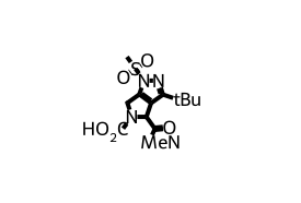 CNC(=O)C1c2c(C(C)(C)C)nn(S(C)(=O)=O)c2CN1C(=O)O